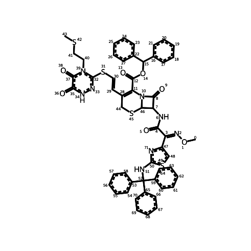 CON=C(C(=O)NC1C(=O)N2C(C(=O)OC(c3ccccc3)c3ccccc3)=C(C=CSc3n[nH]c(=O)c(=O)n3CCSC)CSC12)c1csc(NC(c2ccccc2)(c2ccccc2)c2ccccc2)n1